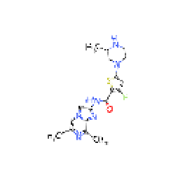 Cc1cn2cc(NC(=O)c3sc(N4CCNC(C)C4)cc3F)nc2c(C)n1